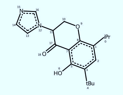 CC(C)c1cc(C(C)(C)C)c(O)c2c1OCC(n1ccnc1)C2=O